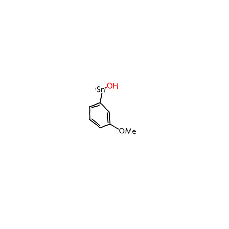 COc1ccc[c]([Sn][OH])c1